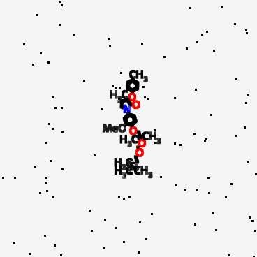 COc1cc(N2CCC(C)(Oc3ccc(C)cc3)C2=O)ccc1OCC(C)(C)OCOCC[Si](C)(C)C